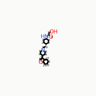 O=C(CO)N[C@H]1CC[C@H](CCN2CCC(c3coc4ccccc34)CC2)CC1